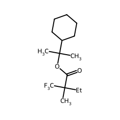 CCC(C)(C(=O)OC(C)(C)C1CCCCC1)C(F)(F)F